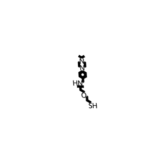 CC(C)N1CCN(c2ccc(CNC(C)(C)CCOCCCS)cc2)CC1